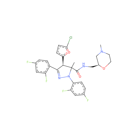 CN1CCO[C@@H](CNC(=O)C2(C)[C@H](c3ccc(Cl)o3)C(c3ccc(F)cc3F)=NN2c2ccc(F)cc2F)C1